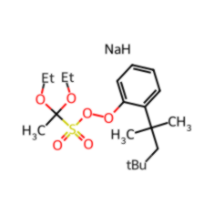 CCOC(C)(OCC)S(=O)(=O)OOc1ccccc1C(C)(C)CC(C)(C)C.[NaH]